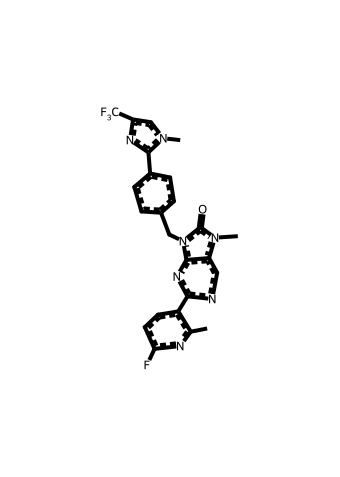 Cc1nc(F)ccc1-c1ncc2c(n1)n(Cc1ccc(-c3nc(C(F)(F)F)cn3C)cc1)c(=O)n2C